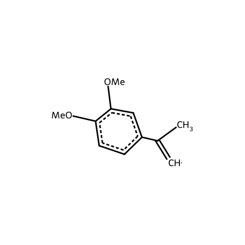 [CH]=C(C)c1ccc(OC)c(OC)c1